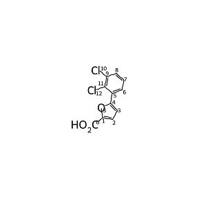 O=C(O)c1ccc(-c2cccc(Cl)c2Cl)o1